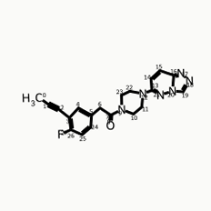 CC#Cc1cc(CC(=O)N2CCN(c3ccc4nncn4n3)CC2)ccc1F